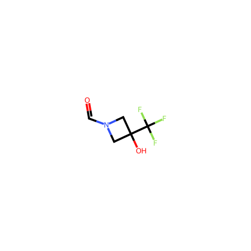 O=CN1CC(O)(C(F)(F)F)C1